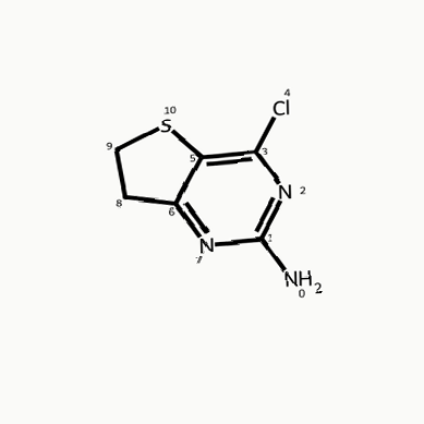 Nc1nc(Cl)c2c(n1)CCS2